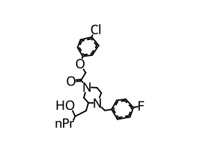 CCCC(O)CC1CN(C(=O)COc2ccc(Cl)cc2)CCN1Cc1ccc(F)cc1